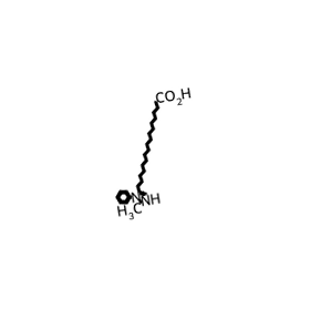 Cc1[nH]cc(CCCCCCCCCCCCCCCCCC(=O)O)[n+]1-c1ccccc1